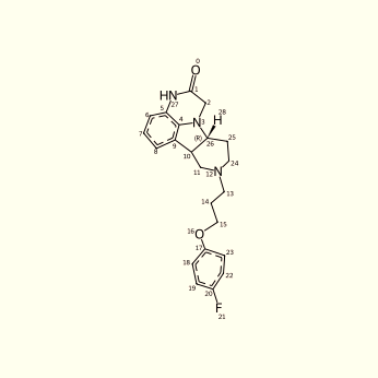 O=C1CN2c3c(cccc3C3CN(CCCOc4ccc(F)cc4)CC[C@H]32)N1